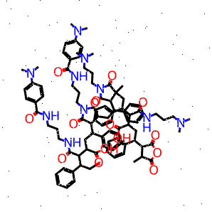 CCC(c1ccccc1)C(C(=O)NCCCNC(=O)c1ccc(N(C)C)cc1)C(CC(c1ccccc1)C1C(=O)N(CCCNC(=O)c2ccc(N(C)C)cc2)C(=O)C1CC(c1ccccc1)C1C(=O)N(CCCN(C)C)C(=O)C1(C)CC(c1ccccc1)C(C(=O)NCCCN(C)C)C(CC(c1ccccc1)C1C(=O)OC(=O)C1C)C(=O)O)C(=O)O